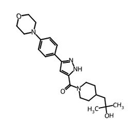 CC(C)(O)CC1CCN(C(=O)c2cc(-c3ccc(N4CCOCC4)cc3)n[nH]2)CC1